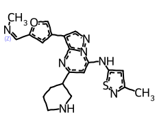 C/N=C\c1cc(-c2cnn3c(Nc4cc(C)ns4)cc(C4CCCNC4)nc23)co1